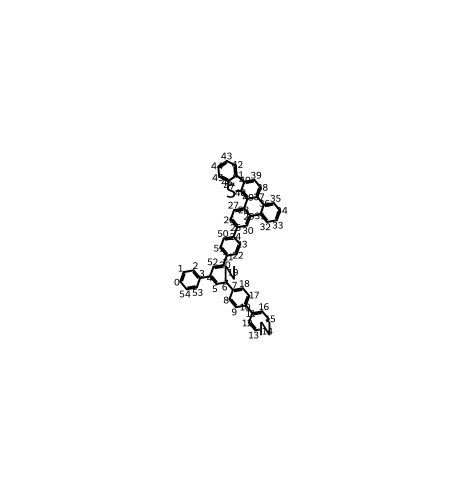 c1ccc(-c2cc(-c3ccc(-c4ccncc4)cc3)nc(-c3ccc(-c4ccc5c(c4)c4ccccc4c4ccc6c7ccccc7sc6c45)cc3)c2)cc1